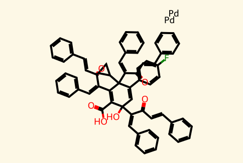 O=C(O)C1=C(C(=Cc2ccccc2)C(=O)C=Cc2ccccc2)C(C(=Cc2ccccc2)C(=O)C=Cc2ccccc2)(C2CC2)C(c2ccc(F)cc2)=CC1(O)C(=Cc1ccccc1)C(=O)C=Cc1ccccc1.[Pd].[Pd]